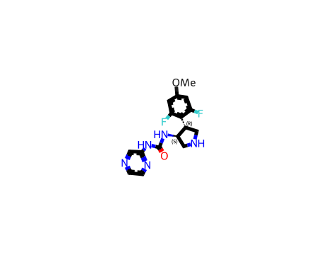 COc1cc(F)c([C@@H]2CNC[C@H]2NC(=O)Nc2cnccn2)c(F)c1